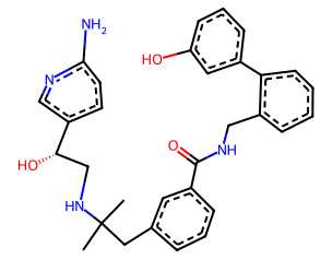 CC(C)(Cc1cccc(C(=O)NCc2ccccc2-c2cccc(O)c2)c1)NC[C@H](O)c1ccc(N)nc1